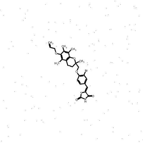 C=CCOc1c(C)c(C)c2c(c1C)CCC(C)(COc1ccc(/C=C3\SC(=O)NC3=O)cc1Br)O2